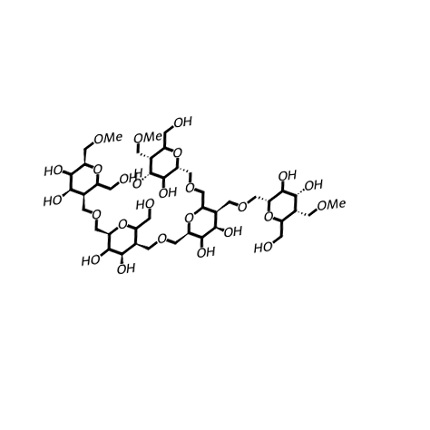 COC[C@@H]1C(CO)O[C@H](COCC2O[C@H](COC[C@@H]3C(CO)O[C@H](COC[C@@H]4C(CO)O[C@H](COC)C(O)[C@@H]4O)C(O)[C@@H]3O)C(O)[C@H](O)[C@@H]2COC[C@H]2OC(CO)[C@@H](COC)[C@@H](O)C2O)C(O)[C@@H]1O